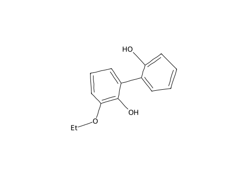 CCOc1cccc(-c2ccccc2O)c1O